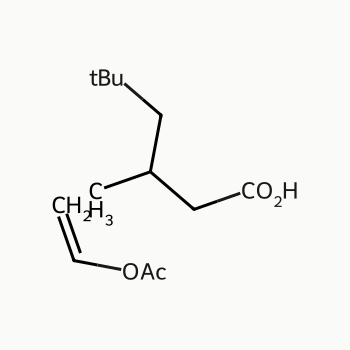 C=COC(C)=O.CC(CC(=O)O)CC(C)(C)C